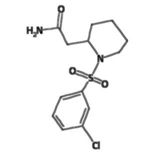 NC(=O)CC1CCCCN1S(=O)(=O)c1cccc(Cl)c1